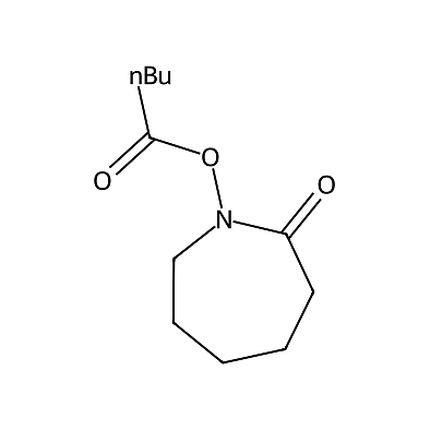 CCCCC(=O)ON1CCCCCC1=O